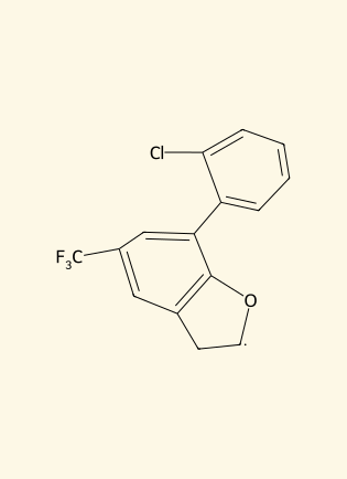 FC(F)(F)c1cc2c(c(-c3ccccc3Cl)c1)O[CH]C2